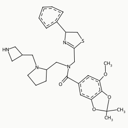 COc1cc(C(=O)N(CC2=NC(c3ccccc3)CS2)CC2CCCN2CC2CNC2)cc2c1OC(C)(C)O2